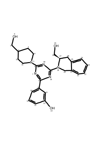 OCC1CCN(c2nc(-c3cccc(O)c3)nc(N3Cc4ccccc4C[C@@H]3CO)n2)CC1